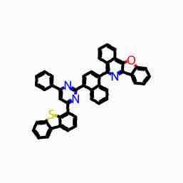 c1ccc(-c2cc(-c3cccc4c3sc3ccccc34)nc(-c3ccc(-c4nc5c6ccccc6oc5c5ccccc45)c4ccccc34)n2)cc1